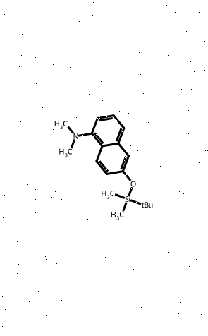 CN(C)c1cccc2cc(O[Si](C)(C)C(C)(C)C)ccc12